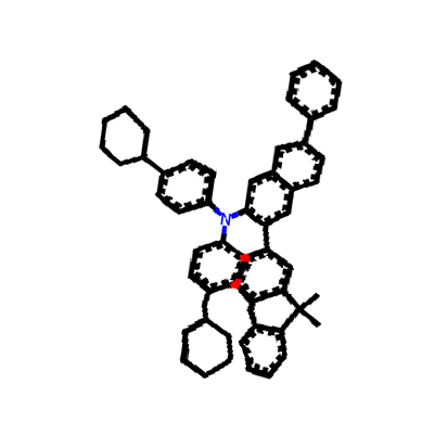 CC1(C)c2ccccc2-c2ccc(-c3cc4ccc(-c5ccccc5)cc4cc3N(c3ccc(C4CCCCC4)cc3)c3ccc(C4CCCCC4)cc3)cc21